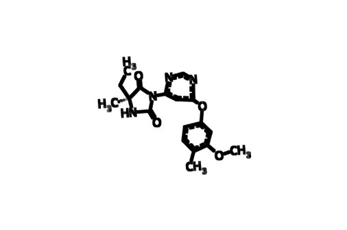 CC[C@]1(C)NC(=O)N(c2cc(Oc3ccc(C)c(OC)c3)ncn2)C1=O